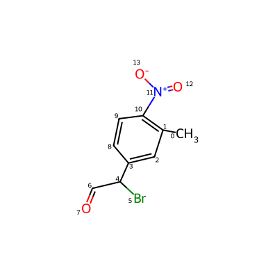 Cc1cc(C(Br)C=O)ccc1[N+](=O)[O-]